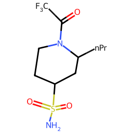 CCCC1CC(S(N)(=O)=O)CCN1C(=O)C(F)(F)F